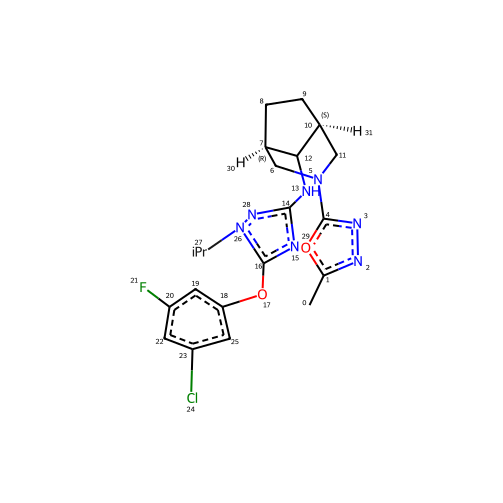 Cc1nnc(N2C[C@H]3CC[C@@H](C2)C3Nc2nc(Oc3cc(F)cc(Cl)c3)n(C(C)C)n2)o1